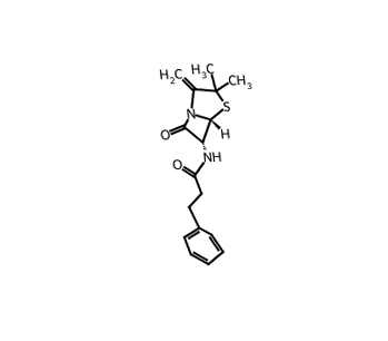 C=C1N2C(=O)[C@@H](NC(=O)CCc3ccccc3)[C@H]2SC1(C)C